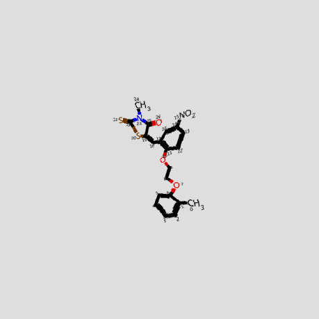 Cc1ccccc1OCCOc1ccc([N+](=O)[O-])cc1C=C1SC(=S)N(C)C1=O